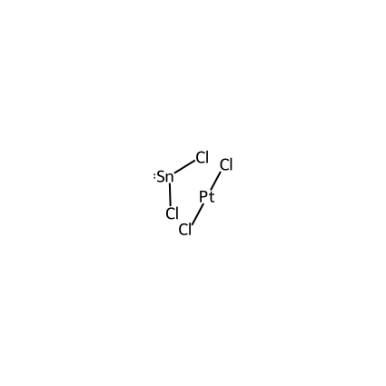 [Cl][Pt][Cl].[Cl][Sn][Cl]